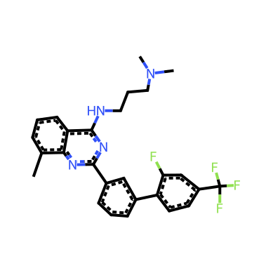 Cc1cccc2c(NCCCN(C)C)nc(-c3cccc(-c4ccc(C(F)(F)F)cc4F)c3)nc12